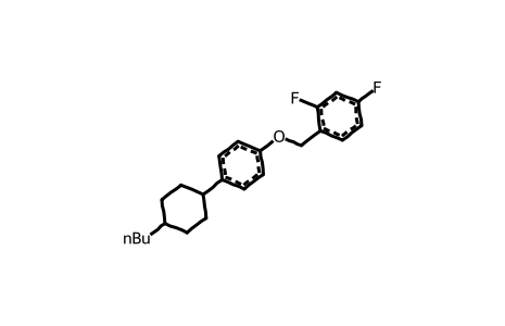 CCCCC1CCC(c2ccc(OCc3ccc(F)cc3F)cc2)CC1